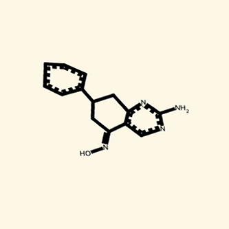 Nc1ncc2c(n1)CC(c1ccccc1)CC2=NO